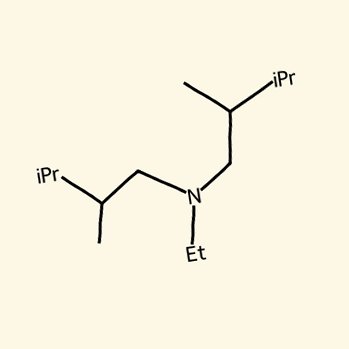 CCN(CC(C)C(C)C)CC(C)C(C)C